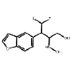 CNC(CO)C(c1ccc2occc2c1)C(F)F